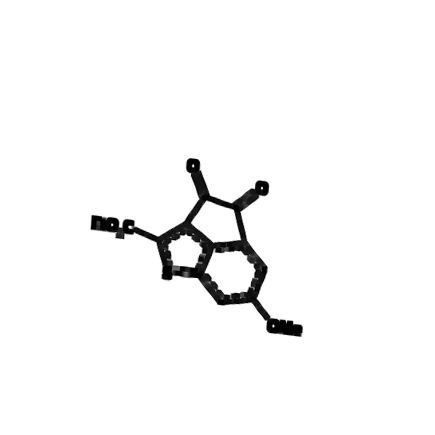 CCOC(=O)c1sc2cc(OC)cc3c2c1C(=O)C3=O